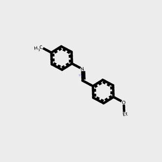 CCOc1ccc(/C=N/c2ccc(C)cc2)cc1